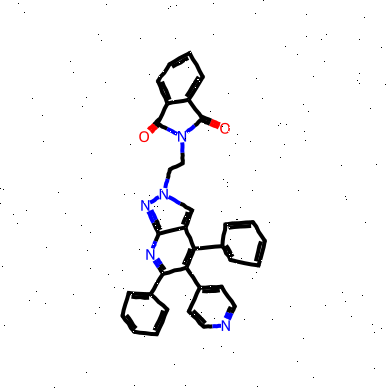 O=C1c2ccccc2C(=O)N1CCn1cc2c(-c3ccccc3)c(-c3ccncc3)c(-c3ccccc3)nc2n1